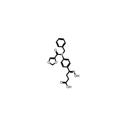 O=C(O)CCC(=NO)c1ccc(N(Cc2ccccc2)C(=O)C2=COCO2)cc1